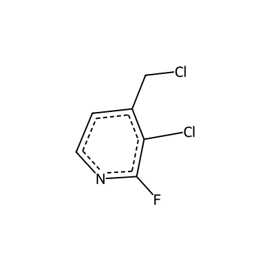 Fc1nccc(CCl)c1Cl